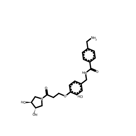 Cl.NCc1ccc(C(=O)NCc2ccc(OCCC(=O)N3C[C@H](O)[C@@H](O)C3)cc2)cc1